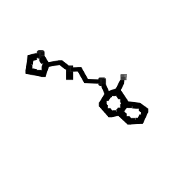 Fc1c(OCCNCc2ccco2)ccc2ccccc12